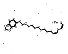 CCCCC/C=C\C/C=C\CCCCCCCCOCCc1ccc2c(c1)OCO2